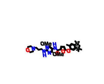 COc1nc(NCCCN2CCOCC2)nc(OC)c1NC(=O)c1ccc(Oc2cc3c(cc2C)[Si](C)(C)C[Si]3(C)C)o1